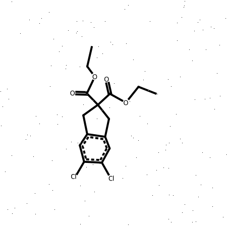 CCOC(=O)C1(C(=O)OCC)Cc2cc(Cl)c(Cl)cc2C1